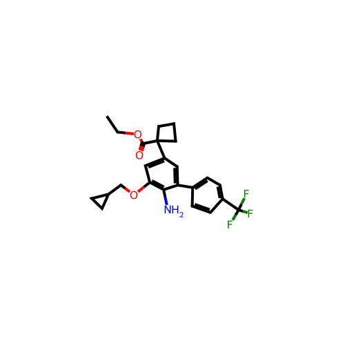 CCOC(=O)C1(c2cc(OCC3CC3)c(N)c(-c3ccc(C(F)(F)F)cc3)c2)CCC1